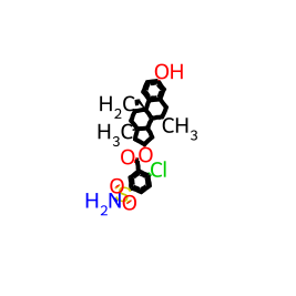 C=C[C@]12CC[C@]3(C)C[C@H](OC(=O)c4cc(S(N)(=O)=O)ccc4Cl)CC3C1[C@H](C)Cc1cc(O)ccc12